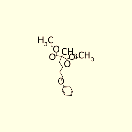 CCOC(=O)C(C)(CCCCOc1ccccc1)C(=O)OCC